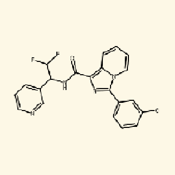 O=C(NC(c1cccnc1)C(F)F)c1nc(-c2cccc(Cl)c2)n2ccccc12